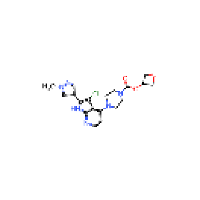 Cn1cc(-c2[nH]c3nccc(N4CCN(C(=O)OC5COC5)CC4)c3c2Cl)cn1